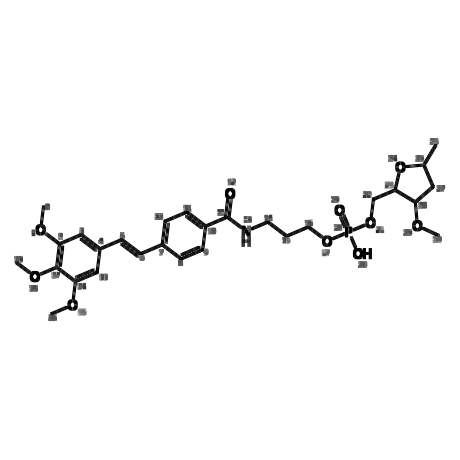 COc1cc(/C=C/c2ccc(C(=O)NCCCOP(=O)(O)OCC3OC(C)CC3OC)cc2)cc(OC)c1OC